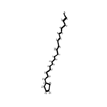 CCCCCCCCCCCCCCCCCCCCCC1CCCC1